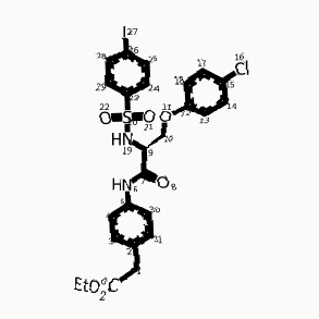 CCOC(=O)Cc1ccc(NC(=O)[C@H](COc2ccc(Cl)cc2)NS(=O)(=O)c2ccc(I)cc2)cc1